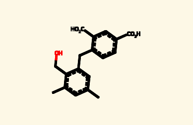 Cc1cc(C)c(CO)c(Cc2ccc(C(=O)O)cc2C(=O)O)c1